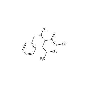 CN(Cc1ccccc1)C(CC(C(F)(F)F)C(F)(F)F)C(=O)OC(C)(C)C